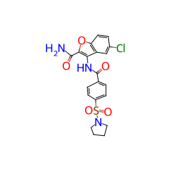 NC(=O)c1oc2ccc(Cl)cc2c1NC(=O)c1ccc(S(=O)(=O)N2CCCC2)cc1